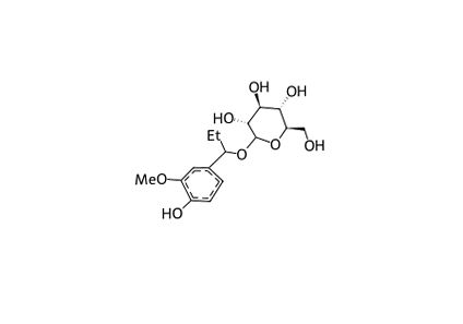 CCC(OC1O[C@H](CO)[C@@H](O)[C@H](O)[C@H]1O)c1ccc(O)c(OC)c1